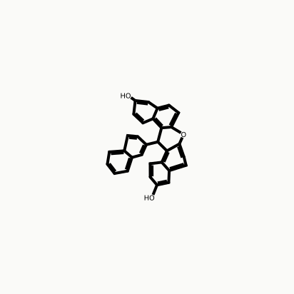 Oc1ccc2c3c(ccc2c1)Oc1ccc2cc(O)ccc2c1C3c1ccc2ccccc2c1